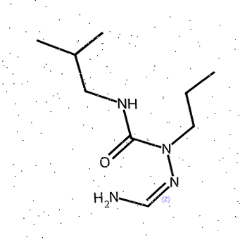 CCCN(/N=C\N)C(=O)NCC(C)C